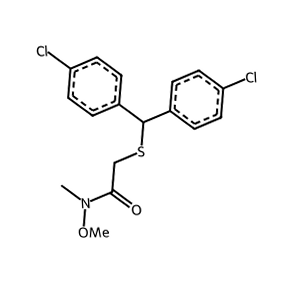 CON(C)C(=O)CSC(c1ccc(Cl)cc1)c1ccc(Cl)cc1